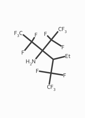 CCC(C(F)(F)C(F)(F)F)C(N)(C(F)(F)C(F)(F)F)C(F)(F)C(F)(F)F